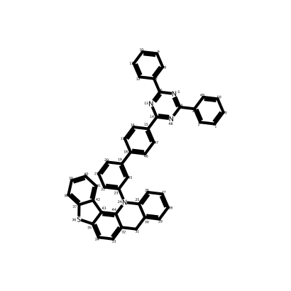 c1ccc(-c2nc(-c3ccccc3)nc(-c3ccc(-c4cccc(N5c6ccccc6Cc6ccc7sc8ccccc8c7c65)c4)cc3)n2)cc1